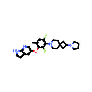 Cc1cc(F)c(N2CCC3(CC2)CC(N2CCCC2)C3)c(F)c1Oc1cnc2[nH]ccc2c1